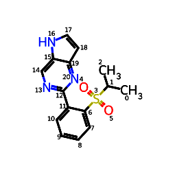 CC(C)S(=O)(=O)c1ccccc1-c1ncc2[nH]ccc2n1